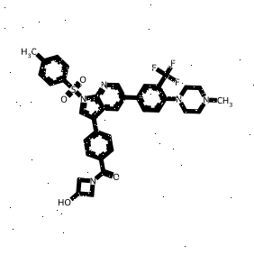 Cc1ccc(S(=O)(=O)n2cc(-c3ccc(C(=O)N4CC(O)C4)cc3)c3cc(-c4ccc(N5CCN(C)CC5)c(C(F)(F)F)c4)cnc32)cc1